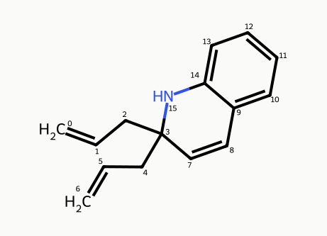 C=CCC1(CC=C)C=Cc2ccccc2N1